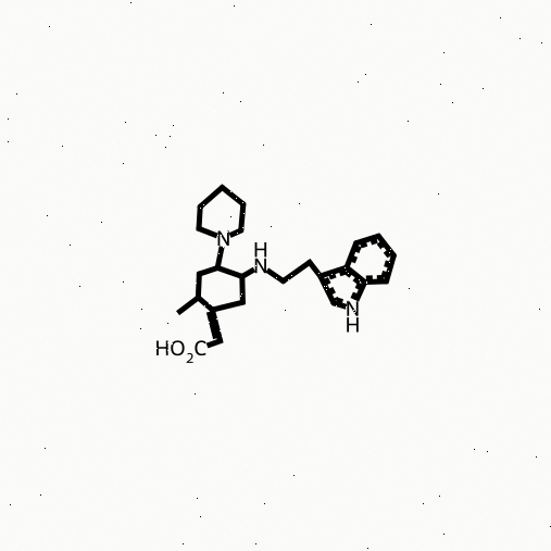 CC1CC(N2CCCCC2)C(NCCc2c[nH]c3ccccc23)C/C1=C/C(=O)O